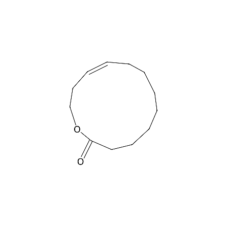 O=C1CCCCCCCC=CCCO1